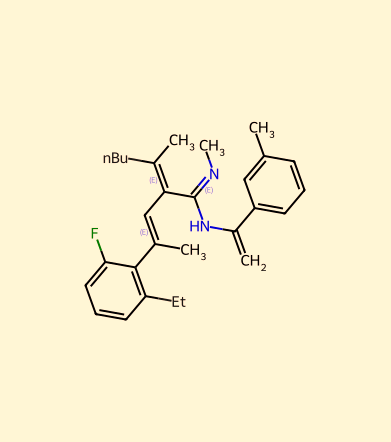 C=C(NC(=N/C)/C(/C=C(\C)c1c(F)cccc1CC)=C(\C)CCCC)c1cccc(C)c1